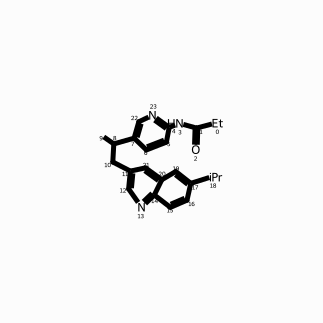 CCC(=O)Nc1ccc(C(C)Cc2cnc3ccc(C(C)C)cc3c2)cn1